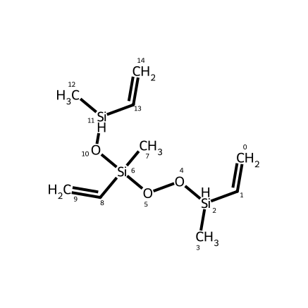 C=C[SiH](C)OO[Si](C)(C=C)O[SiH](C)C=C